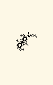 C=CCNc1ccc(C(C)(C)c2cccc(O)c2)cc1O